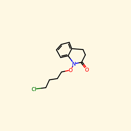 O=C1CCc2ccccc2N1OCCCCCl